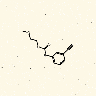 C#Cc1cccc(NC(=O)OCCOC)c1